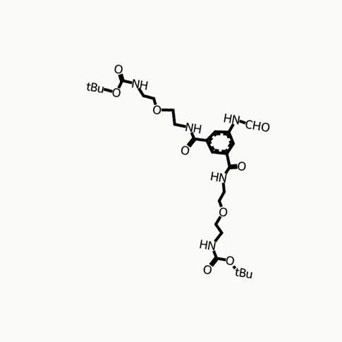 CC(C)(C)OC(=O)NCCOCCNC(=O)c1cc(NC=O)cc(C(=O)NCCOCCNC(=O)OC(C)(C)C)c1